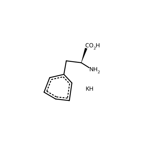 N[C@@H](Cc1ccccc1)C(=O)O.[KH]